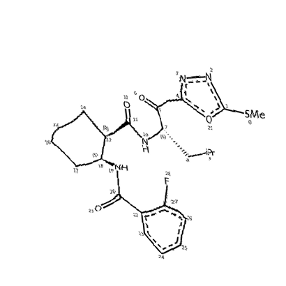 CSc1nnc(C(=O)[C@H](CC(C)C)NC(=O)[C@@H]2CCCC[C@@H]2NC(=O)c2ccccc2F)o1